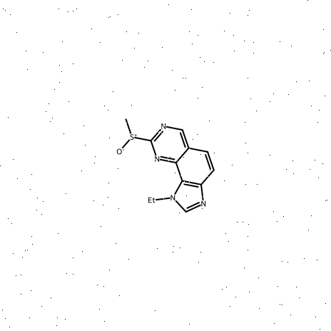 CCn1cnc2ccc3cnc([S+](C)[O-])nc3c21